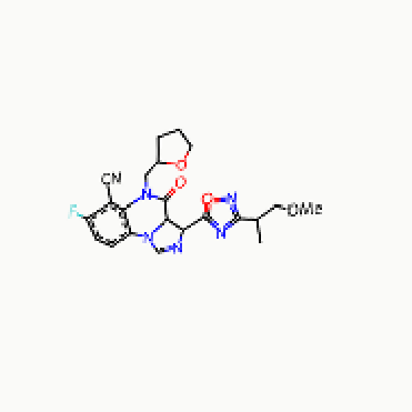 COCC(C)c1noc(C2N=CN3c4ccc(F)c(C#N)c4N(CC4CCCO4)C(=O)C23)n1